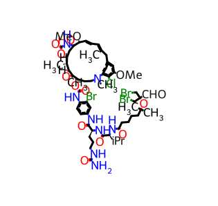 COc1cc2cc(c1Cl)N(C)CC[C@H](OC(=O)Nc1ccc(NC(=O)[C@H](CCCNC(N)=O)NC(=O)[C@@H](NC(=O)CCCCC(C)(C)OC(C=O)(CBr)CBr)C(C)C)cc1Br)[C@]1(C)O[C@H]1[C@H](C)[C@@H]1C[C@@](O)(NC(=O)O1)[C@H](OC)/C=C/C=C(\C)C2